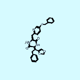 O=c1[nH]c(=C(Cc2ccccc2)C2=COCO2)c(=O)[nH]c1=Cc1ccc(OCc2ccccc2)cn1